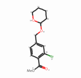 COC(=O)c1ccc(COC2CCCCO2)cc1Br